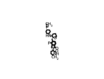 C=C1CCC(N2Cc3c(ccc(C[C@H]4OCCC[C@@H]4N[C@H]4CC[C@@H](COC)CC4)c3F)C2=O)C(=O)N1